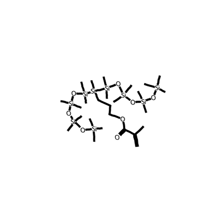 C=C(C)C(=O)OCCC[Si](C)([Si](C)(C)O[Si](C)(C)O[Si](C)(C)O[Si](C)(C)C)[Si](C)(C)O[Si](C)(C)O[Si](C)(C)O[Si](C)(C)C